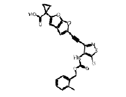 Cc1ccccc1COC(=O)Nc1c(C#Cc2cc3cc(C4(C(=O)O)CC4)oc3o2)nsc1Cl